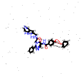 O=C(Cn1c(-c2ccccc2)ncc(NC(=O)c2ccc(Oc3ccccc3)cc2)c1=O)NCc1cc2cnccc2[nH]1